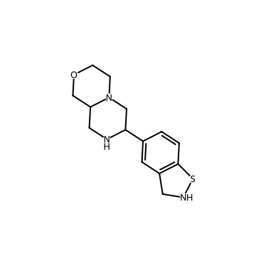 c1cc2c(cc1C1CN3CCOCC3CN1)CNS2